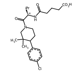 CC(C)[C@@H](NC(=O)CCCC(=O)O)C(=O)N1CCC(c2ccc(Cl)cc2)C(C)(C)C1